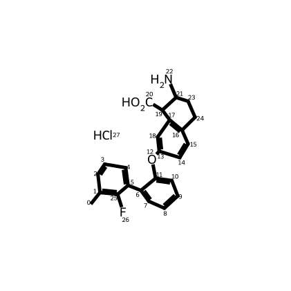 Cc1cccc(-c2ccccc2Oc2ccc3c(c2)C(C(=O)O)C(N)CC3)c1F.Cl